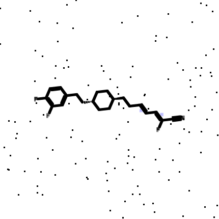 N#C/C(F)=C/C=C/CC[C@H]1CC[C@H](CCc2ccc(F)c(F)c2)CC1